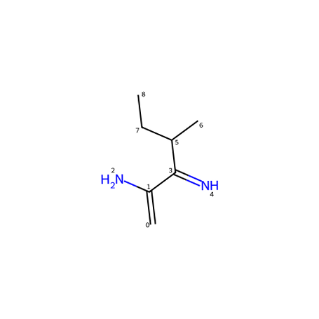 C=C(N)C(=N)C(C)CC